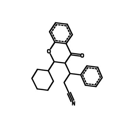 N#CCC(c1ccccc1)C1C(=O)c2ccccc2OC1C1CCCCC1